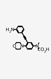 CN(C(=O)O)c1ccc(N2CCOCC2)c(C#Cc2cccc(N)c2)c1